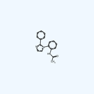 CC(=O)Nc1ccccc1-n1ccnc1-c1ccccc1